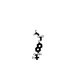 CCC(C)(C)C(=O)Nc1ccc2cc(OCC(=O)OCC(F)F)ccc2c1